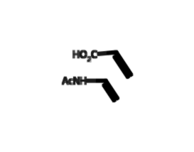 C=CC(=O)O.C=CNC(C)=O